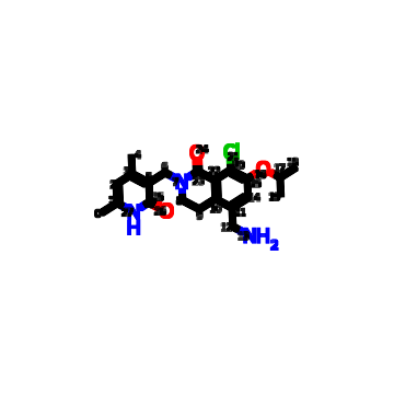 Cc1cc(C)c(CN2CCc3c(CN)cc(OC(C)C)c(Cl)c3C2=O)c(=O)[nH]1